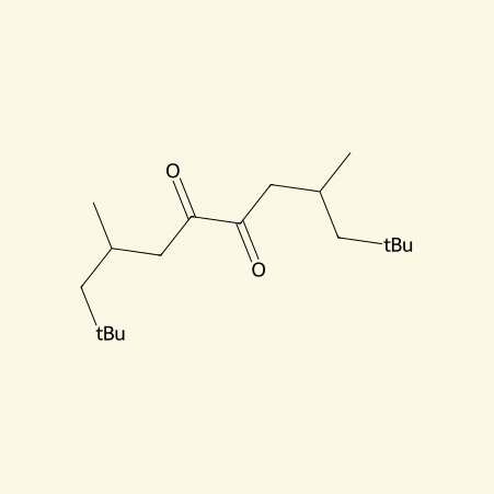 CC(CC(=O)C(=O)CC(C)CC(C)(C)C)CC(C)(C)C